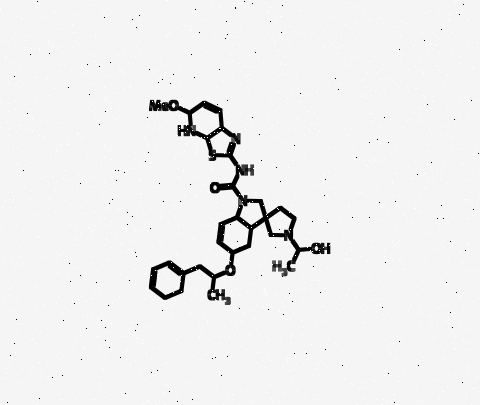 COC1C=CC2N=C(NC(=O)N3CC4(CCN(C(C)O)C4)C4CC(OC(C)CC5=CC=CCC5)C=CC43)SC2N1